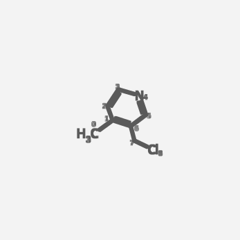 Cc1ccncc1CCl